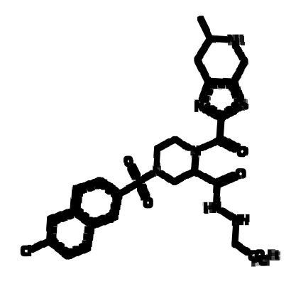 CCOC(=O)CNNC(=O)C1CN(S(=O)(=O)c2ccc3cc(Cl)ccc3c2)CCN1C(=O)c1nc2c(s1)CNC(C)C2.Cl